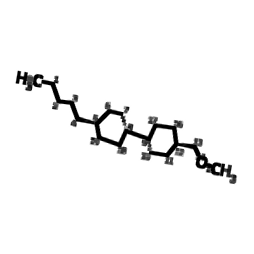 CCCCC[C@H]1CC[C@H]([C@H]2CC[C@H](COC)CC2)CC1